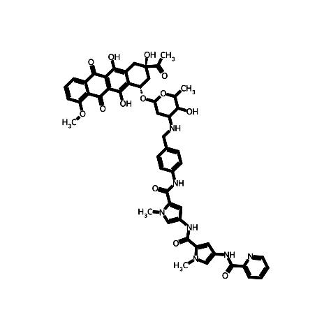 COc1cccc2c1C(=O)c1c(O)c3c(c(O)c1C2=O)C[C@](O)(C(C)=O)C[C@@H]3OC1CC(NCc2ccc(NC(=O)c3cc(NC(=O)c4cc(NC(=O)c5ccccn5)cn4C)cn3C)cc2)C(O)C(C)O1